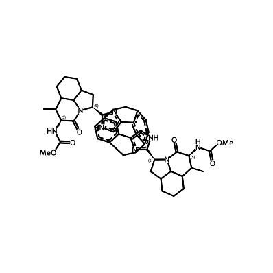 COC(=O)N[C@@H]1C(=O)N2C3C(CCCC3C1C)C[C@H]2c1nc(-c2cc3ccc2CCc2ccc(c(-c4c[nH]c([C@@H]5CC6CCCC7C(C)[C@H](NC(=O)OC)C(=O)N5C67)n4)c2)CC3)c[nH]1